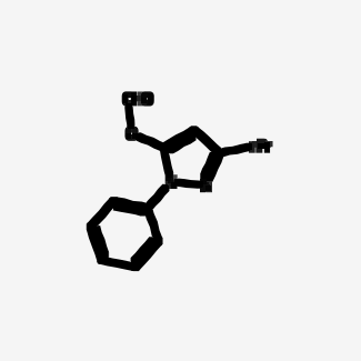 CCCc1cc(OC=O)n(-c2ccccc2)n1